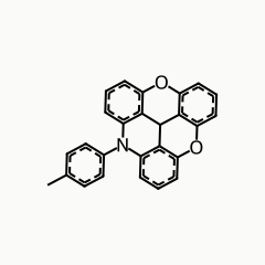 Cc1ccc(N2c3cccc4c3C3c5c(cccc5Oc5cccc2c53)O4)cc1